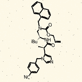 C=CCOC(=O)N(Cc1cccc2ccccc12)C[C@@H](NC(=O)[C@H](C)c1cncn1Cc1ccc(C#N)cc1)[C@@H](C)CC